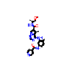 COC[C@H](C)NC(=O)c1cn2ncnc(Nc3cc(NC(=O)c4ccncc4)ccc3C)c2c1C